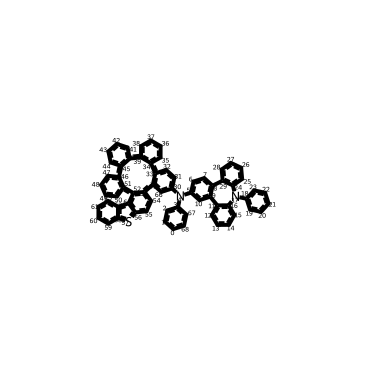 c1ccc(N(c2ccc3c(c2)-c2ccccc2N(c2ccccc2)c2ccccc2-3)c2ccc3c4ccccc4c4ccccc4c4ccccc4c4c(ccc5sc6ccccc6c54)c3c2)cc1